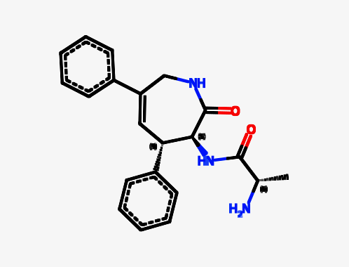 C[C@H](N)C(=O)N[C@@H]1C(=O)NCC(c2ccccc2)=C[C@H]1c1ccccc1